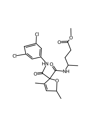 COC(=O)CCC(C)NC(=O)C1(C(=O)Nc2cc(Cl)cc(Cl)c2)OC(C)C=C1C